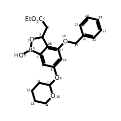 CCOC(=O)CC1OB(O)c2cc(OC3CCCCO3)cc(OCc3ccccc3)c21